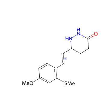 COc1ccc(/C=C/C2CCC(=O)NN2)c(SC)c1